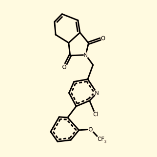 O=C1C2=CC=CCC2C(=O)N1Cc1ccc(-c2ccccc2OC(F)(F)F)c(Cl)n1